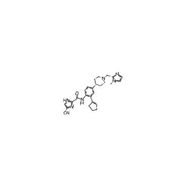 Cn1ccnc1CN1CCC(c2ccc(NC(=O)c3nc(C#N)c[nH]3)c(C3=CCCC3)c2)CC1